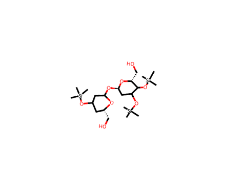 C[Si](C)(C)OC1CC(O[C@@H]2CC(O[Si](C)(C)C)C(O[Si](C)(C)C)[C@@H](CO)O2)O[C@H](CO)C1